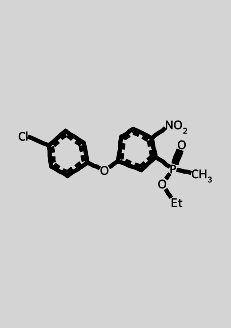 CCOP(C)(=O)c1cc(Oc2ccc(Cl)cc2)ccc1[N+](=O)[O-]